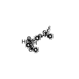 CCCCC(=O)N(CCCOc1ccc(CCC(Nc2ccccc2OC(=O)c2ccccc2)C(=O)O)cc1)c1ccccc1